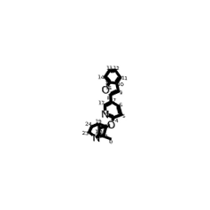 CC1C(Oc2ccc(-c3cc4ccccc4o3)cn2)C2CCN1CC2